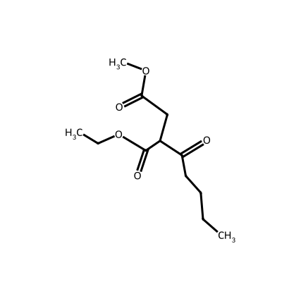 CCCCC(=O)C(CC(=O)OC)C(=O)OCC